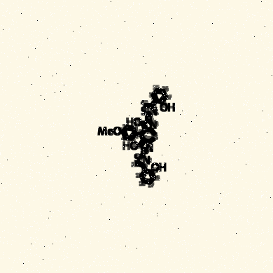 COc1ccc(C(c2c(C)nn(-c3nc(-c4ccccc4O)cs3)c2O)c2c(C)nn(-c3nc(-c4ccccc4O)cs3)c2O)cc1